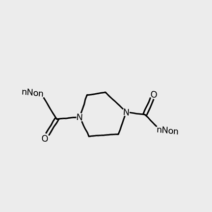 CCCCCCCCCC(=O)N1CCN(C(=O)CCCCCCCCC)CC1